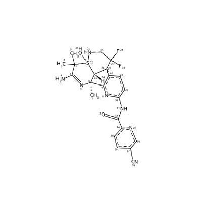 CC1(C)C(N)=N[C@](C)(c2nc(NC(=O)c3ccc(C#N)cn3)ccc2F)[C@H]2CC(F)(F)CNS21O